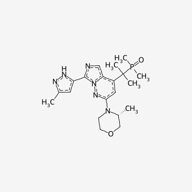 Cc1cc(-c2ncc3c(C(C)(C)P(C)(C)=O)cc(N4CCOC[C@H]4C)nn23)[nH]n1